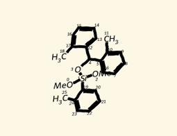 CO[Si](OC)(OC(c1ccccc1C)c1ccccc1C)c1ccccc1C